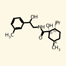 Cc1cccc(C(O)CNC(=O)[C@]2(O)C[C@H](C)CC[C@H]2C(C)C)c1